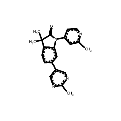 Cc1cc(N2C(=O)C(C)(C)c3ccc(-c4cnc(C)nc4)cc32)ccn1